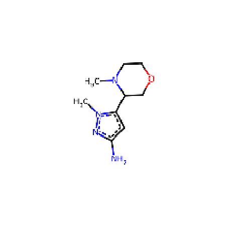 CN1CCOCC1c1cc(N)nn1C